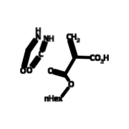 C=C(C(=O)O)C(=O)OCCCCCC.N=C=O.N=C=O